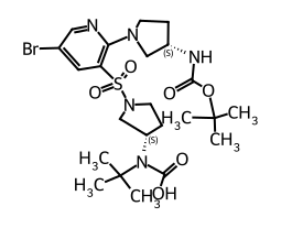 CC(C)(C)OC(=O)N[C@H]1CCN(c2ncc(Br)cc2S(=O)(=O)N2CC[C@H](N(C(=O)O)C(C)(C)C)C2)C1